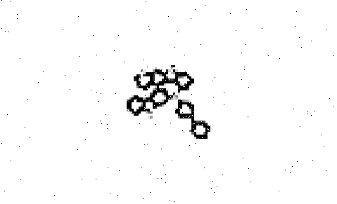 c1ccc(-c2ccc(N(c3ccc4c(c3)sc3ccccc34)c3cccc4sc5cc6ncccc6cc5c34)cc2)cc1